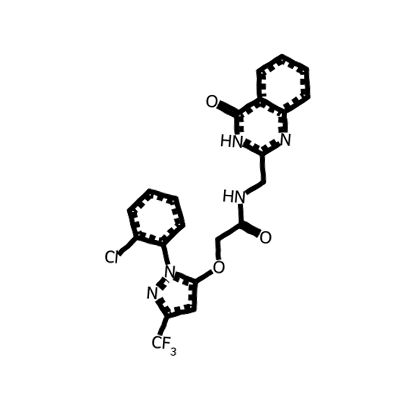 O=C(COc1cc(C(F)(F)F)nn1-c1ccccc1Cl)NCc1nc2ccccc2c(=O)[nH]1